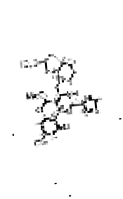 COC(=O)C1=C(CN2CCO[C@@H](C)[C@@H]2CCC(=O)O)NC(c2nccs2)=N[C@H]1c1ccc(Cl)cc1Cl